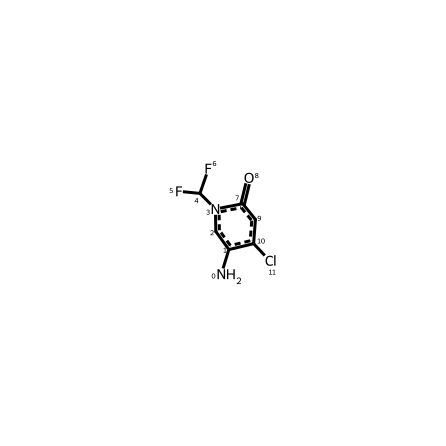 Nc1cn(C(F)F)c(=O)cc1Cl